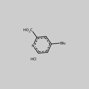 CC(C)(C)c1ccnc(C(=O)O)c1.Cl